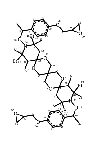 CCC1(C)CC2(OCC3(CO2)COC2(CC(C)(CC)N(OC(C)c4ccc(OCC5CO5)cc4)C(C)(CC)C2C)OC3)C(C)C(C)(CC)N1OC(C)c1ccc(OCC2CO2)cc1